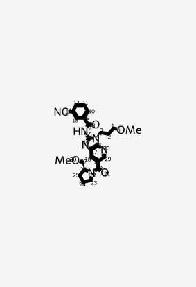 COCCCn1c(NC(=O)c2cccc(C#N)c2)nc2cc(C(=O)N3CCC[C@H]3COC)cnc21